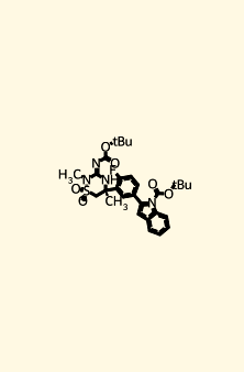 CN1/C(=N/C(=O)OC(C)(C)C)N[C@](C)(c2cc(-c3cc4ccccc4n3C(=O)OC(C)(C)C)ccc2F)CS1(=O)=O